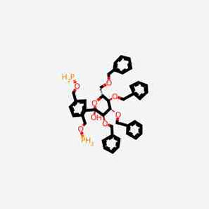 O[C@@]1(c2cc(COP)ccc2COP)O[C@H](COCc2ccccc2)[C@@H](OCc2ccccc2)[C@H](OCc2ccccc2)[C@H]1OCc1ccccc1